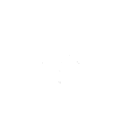 CCC=NCC(C#N)CCC